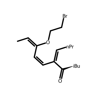 C\C=C(/C=C\C(=C\CCC)C(=O)[C@H](C)CC)OCCBr